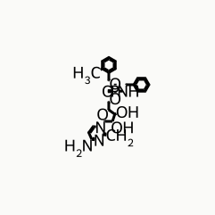 C=C1N=C(N)C=CN1C1OC(COP(=O)(NCc2ccccc2)OCc2ccccc2C)C(O)C1O